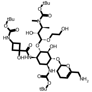 C[C@@H]([C@@H](O)[C@H](OCCO)O[C@@H]1[C@@H](O)[C@H](O[C@@H]2CCC=C(CN)O2)[C@@H](NC(=O)OC(C)(C)C)C[C@H]1NC(=O)C1(O)CC(NC(=O)OC(C)(C)C)C1)N(C)C(=O)OC(C)(C)C